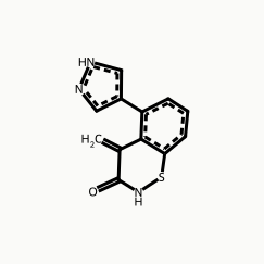 C=C1C(=O)NSc2cccc(-c3cn[nH]c3)c21